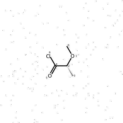 CO[C@H](C)C(=O)Cl